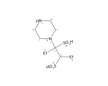 CCC(C(CC)(N1CCNCC1)S(=O)(=O)O)S(=O)(=O)O